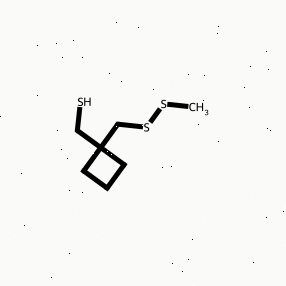 CSSCC1(CS)CCC1